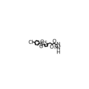 O=C(Cc1ccc(S(=O)(=O)c2ccc(Cl)cc2)s1)C(=O)c1nc[nH]n1